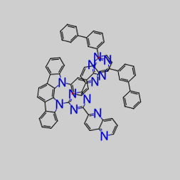 c1ccc(-c2cccc(-c3nc(-c4cccc(-c5ccccc5)c4)nc(-c4cccc(-n5c6ccccc6c6ccc7c8ccccc8n(-c8nc(-c9ccc%10ncccc%10n9)nc(-c9ccc%10ncccc%10n9)n8)c7c65)c4)n3)c2)cc1